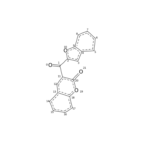 O=C(c1cc2ccccc2o1)c1cc2ccccc2oc1=O